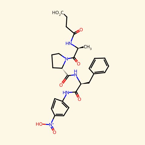 C[C@H](NC(=O)CCC(=O)O)C(=O)N1CCC[C@H]1C(=O)N[C@@H](Cc1ccccc1)C(=O)Nc1ccc([N+](=O)O)cc1